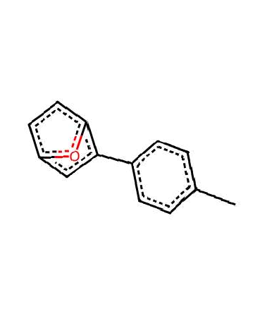 Cc1ccc(-c2cc3ccc2o3)cc1